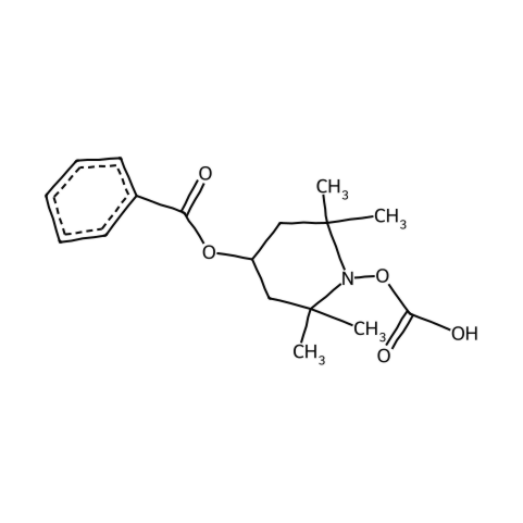 CC1(C)CC(OC(=O)c2ccccc2)CC(C)(C)N1OC(=O)O